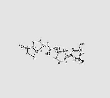 O=C(CN1CCN2C(=O)CCC2C1)Nc1cccc(-c2cc(F)cc(F)c2)n1